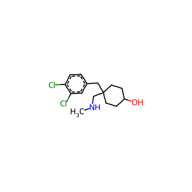 CNCC1(Cc2ccc(Cl)c(Cl)c2)CCC(O)CC1